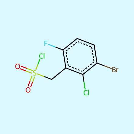 O=S(=O)(Cl)Cc1c(F)ccc(Br)c1Cl